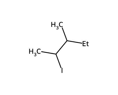 CCC(C)C(C)I